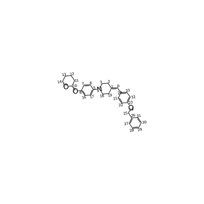 C(=C1CCN(c2ccc(OC3CCCCO3)cc2)CC1)c1ccc(OCc2ccccc2)cc1